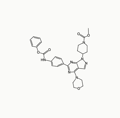 COC(=O)N1CCC(n2ncc3c(N4CCOCC4)nc(-c4ccc(NC(=O)Oc5ccccc5)cc4)nc32)CC1